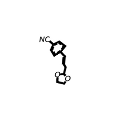 N#Cc1ccc(C=CCC2OCCO2)cc1